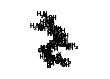 CC(C)C[C@H](NC(=O)[C@@H]1CCCN1C(=O)[C@@H](N)CO)C(=O)N[C@@H](C)C(=O)N[C@@H](CCC(N)=O)C(=O)N[C@@H](C)C(=O)N[C@H](C(=O)N[C@@H](CCCNC(=N)N)C(=O)N[C@@H](CO)C(=O)N[C@@H](CO)C(=O)N[C@@H](CO)C(=O)N[C@@H](CCCNC(=N)N)C(=O)N[C@@H](CCCN)C(=O)O)C(C)C